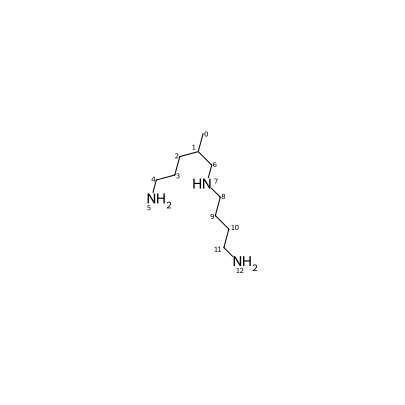 CC(CCCN)CNCCCCN